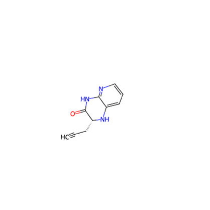 C#CC[C@H]1Nc2cccnc2NC1=O